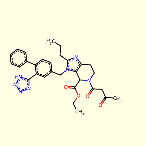 CCCc1nc2c(n1Cc1ccc(-c3ccccc3)c(-c3nnn[nH]3)c1)C(C(=O)OCC)N(C(=O)CC(C)=O)CC2